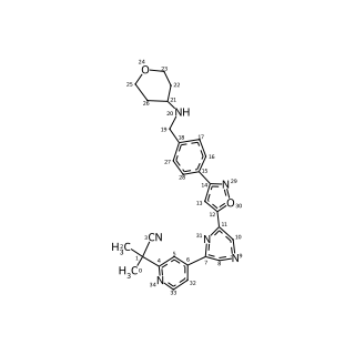 CC(C)(C#N)c1cc(-c2cncc(-c3cc(-c4ccc(CNC5CCOCC5)cc4)no3)n2)ccn1